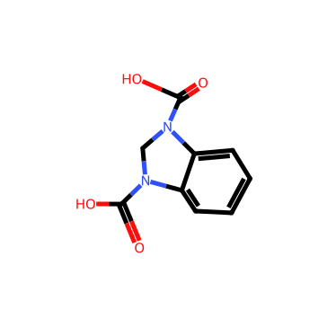 O=C(O)N1CN(C(=O)O)c2ccccc21